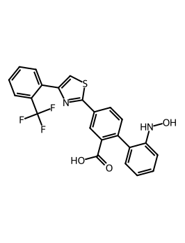 O=C(O)c1cc(-c2nc(-c3ccccc3C(F)(F)F)cs2)ccc1-c1ccccc1NO